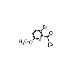 COc1ccc(Br)c(C(=O)C2CC2)n1